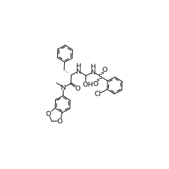 CN(C(=O)[C@H](Cc1ccccc1)NC(O)NS(=O)(=O)c1ccccc1Cl)c1ccc2c(c1)OCO2